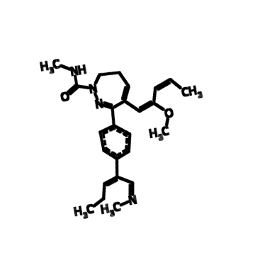 C/C=C\C(=C/C1=CCCN(C(=O)NC)N=C1c1ccc(C(/C=N\C)=C/CC)cc1)OC